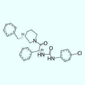 O=C(Nc1ccc(Cl)cc1)N[C@@H](C(=O)N1CCC[C@@H](Cc2ccccc2)C1)c1ccccc1